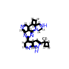 FC(F)(F)C1(c2cc3c(-c4nc(N5CCNCC5)c5c(C6CCC6)cncc5n4)ccnc3[nH]2)CCC1